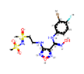 CS(=O)(=O)N=[S@](C)(=O)CCNc1nonc1/C(=N/O)Nc1ccc(F)c(Br)c1